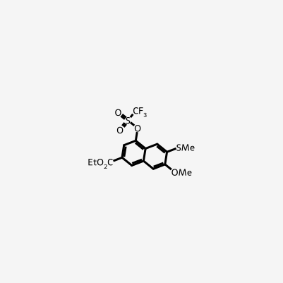 CCOC(=O)c1cc(OS(=O)(=O)C(F)(F)F)c2cc(SC)c(OC)cc2c1